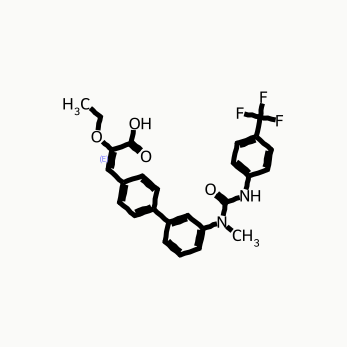 CCO/C(=C/c1ccc(-c2cccc(N(C)C(=O)Nc3ccc(C(F)(F)F)cc3)c2)cc1)C(=O)O